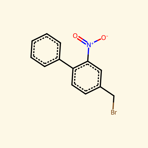 O=[N+]([O-])c1cc(CBr)ccc1-c1ccccc1